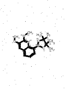 COc1cc2cccc(B3OC(C)(C)C(C)(C)O3)c2nc1OC